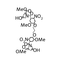 COC(=O)[C@@H]1C[C@@H](O)CN1C(=O)c1cc(OC)c(OCCCOc2cc([N+](=O)[O-])c(C(=O)N3C[C@H](O)C[C@H]3C(=O)OC)cc2OC)cc1[N+](=O)[O-]